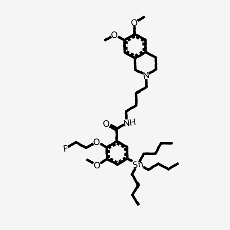 CCC[CH2][Sn]([CH2]CCC)([CH2]CCC)[c]1cc(OC)c(OCCF)c(C(=O)NCCCCN2CCc3cc(OC)c(OC)cc3C2)c1